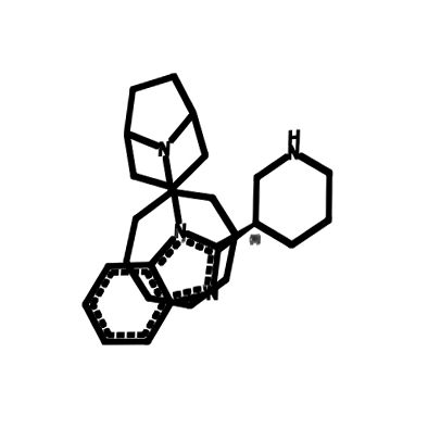 c1ccc2c(c1)nc([C@@H]1CCCNC1)n2C1CC2CCC(C1)N2C1CCCCCCC1